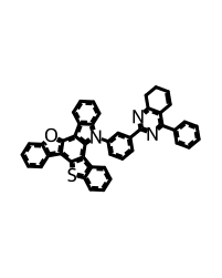 C1=Cc2c(nc(-c3cccc(-n4c5ccccc5c5c6oc7ccccc7c6c6sc7ccccc7c6c54)c3)nc2-c2ccccc2)CC1